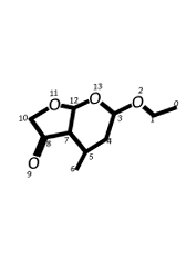 CCOC1CC(C)C2C(=O)COC2O1